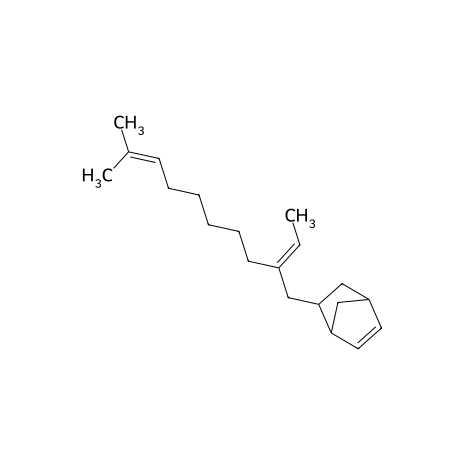 CC=C(CCCCCC=C(C)C)CC1CC2C=CC1C2